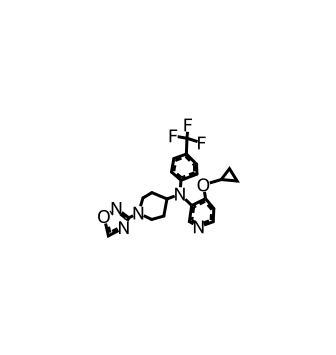 FC(F)(F)c1ccc(N(c2cnccc2OC2CC2)C2CCN(c3ncon3)CC2)cc1